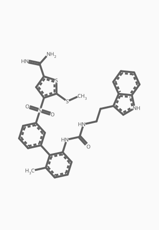 CSc1sc(C(=N)N)cc1S(=O)(=O)c1cccc(-c2c(C)cccc2NC(=O)NCCc2c[nH]c3ccccc23)c1